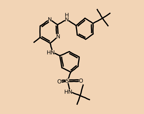 Cc1cnc(Nc2cccc(C(C)(C)C)c2)nc1Nc1cccc(S(=O)(=O)NC(C)(C)C)c1